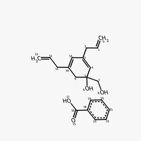 C=CCC1=CC(O)(CO)CC(CC=C)=C1.O=C(O)c1ccccc1